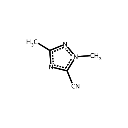 Cc1nc(C#N)n(C)n1